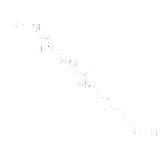 O=CNCC(=O)NCC(=O)NCC(=O)NCSCCCCCC(=O)O